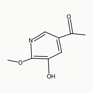 COc1ncc(C(C)=O)cc1O